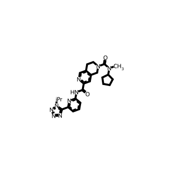 CC(C)n1nnnc1-c1cccc(NC(=O)c2cc3c(cn2)CCN(C(=O)N(C)C2CCCC2)C3)n1